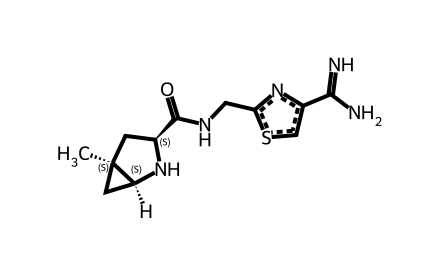 C[C@]12C[C@@H](C(=O)NCc3nc(C(=N)N)cs3)N[C@H]1C2